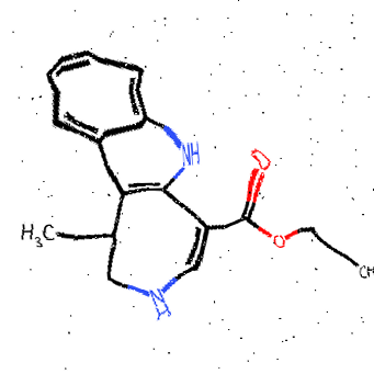 CCOC(=O)C1=CNCC(C)c2c1[nH]c1ccccc21